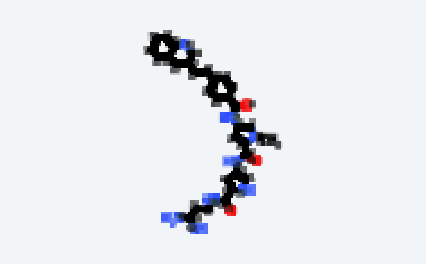 Cn1cc(NC(=O)c2ccc(/C=C/c3cnc4ccccc4c3)cc2)cc1C(=O)Nc1c[nH]c(C(=O)NCCC(=N)N)c1